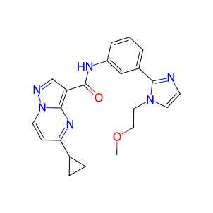 COCCn1ccnc1-c1cccc(NC(=O)c2cnn3ccc(C4CC4)nc23)c1